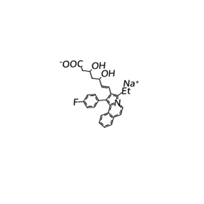 CCc1c(/C=C/C(O)CC(O)CC(=O)[O-])c(-c2ccc(F)cc2)c2c3ccccc3ccn12.[Na+]